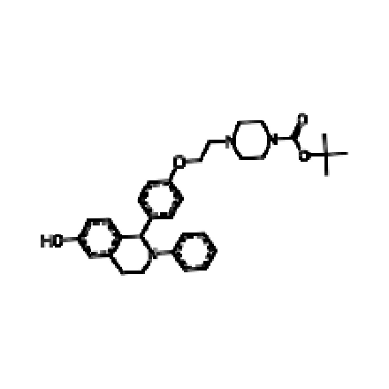 CC(C)(C)OC(=O)N1CCN(CCOc2ccc(C3c4ccc(O)cc4CCN3c3ccccc3)cc2)CC1